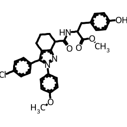 COC(=O)C(Cc1ccc(O)cc1)NC(=O)C1CCCc2c1nn(-c1ccc(OC)cc1)c2-c1ccc(Cl)cc1